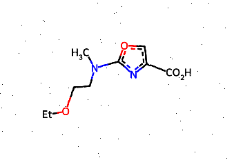 CCOCCN(C)c1nc(C(=O)O)co1